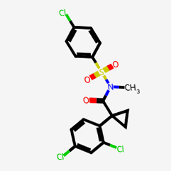 CN(C(=O)C1(c2ccc(Cl)cc2Cl)CC1)S(=O)(=O)c1ccc(Cl)cc1